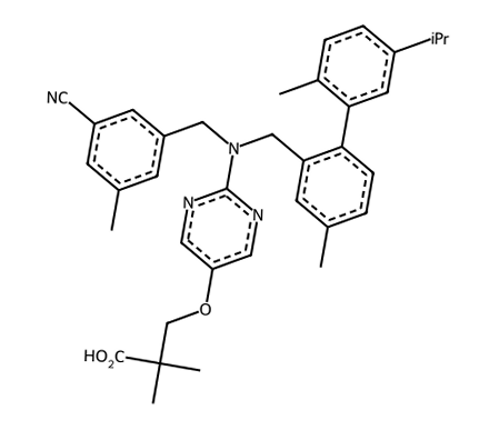 Cc1cc(C#N)cc(CN(Cc2cc(C)ccc2-c2cc(C(C)C)ccc2C)c2ncc(OCC(C)(C)C(=O)O)cn2)c1